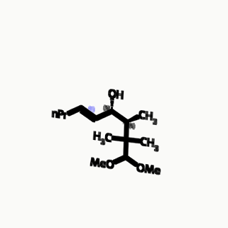 CCC/C=C/[C@H](O)[C@@H](C)C(C)(C)C(OC)OC